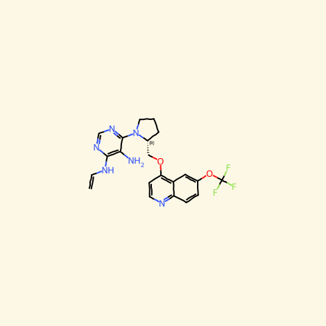 C=CNc1ncnc(N2CCC[C@@H]2COc2ccnc3ccc(OC(F)(F)F)cc23)c1N